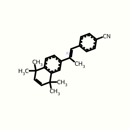 C/C(=C\c1ccc(C#N)cc1)c1ccc2c(c1)C(C)(C)C=CC2(C)C